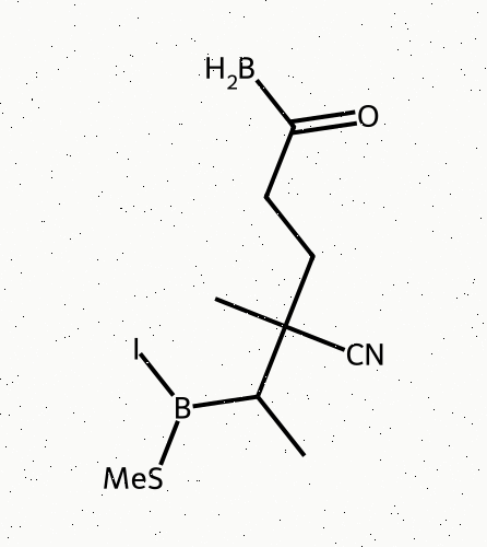 BC(=O)CCC(C)(C#N)C(C)B(I)SC